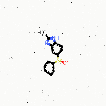 Cc1nc2cc([S+]([O-])c3ccccc3)ccc2[nH]1